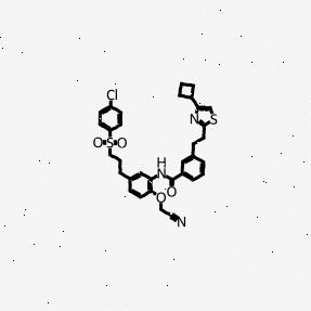 N#CCOc1ccc(CCCS(=O)(=O)c2ccc(Cl)cc2)cc1NC(=O)c1cccc(CCc2nc(C3CCC3)cs2)c1